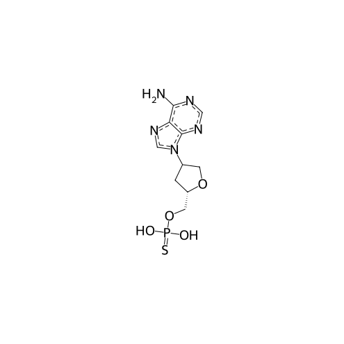 Nc1ncnc2c1ncn2C1CO[C@H](COP(O)(O)=S)C1